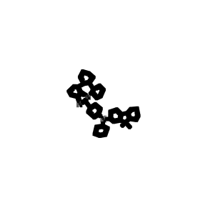 CC1(C)c2ccccc2-c2ccc(N(c3ccccc3)c3ccc(-c4nc5cccc6c5n4-c4ccccc4-c4ccccc4-6)cc3)cc21